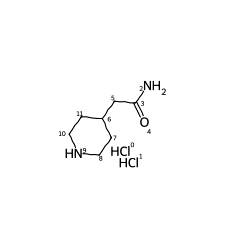 Cl.Cl.NC(=O)CC1CCNCC1